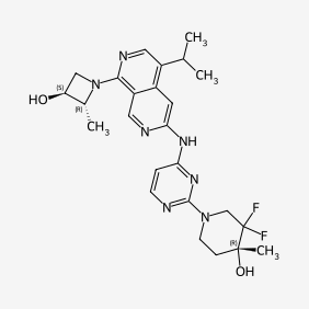 CC(C)c1cnc(N2C[C@H](O)[C@H]2C)c2cnc(Nc3ccnc(N4CC[C@@](C)(O)C(F)(F)C4)n3)cc12